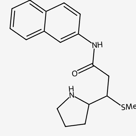 CSC(CC(=O)Nc1ccc2ccccc2c1)C1CCCN1